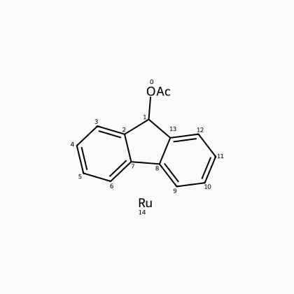 CC(=O)OC1c2ccccc2-c2ccccc21.[Ru]